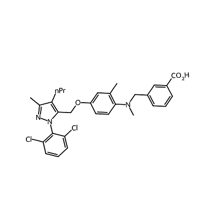 CCCc1c(C)nn(-c2c(Cl)cccc2Cl)c1COc1ccc(N(C)Cc2cccc(C(=O)O)c2)c(C)c1